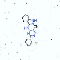 N#Cc1nnc(-c2ccccc2CF)nc1Nc1n[nH]c2ccccc12